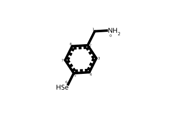 NCc1ccc([SeH])cc1